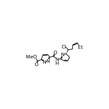 CC/C=C\CC(Cl)[C@H]1CC=CC(NC(=O)c2ccc(C(=O)OC)nn2)=N1